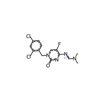 CN(C)/C=N/c1nc(=O)n(Cc2ccc(Cl)cc2Cl)cc1F